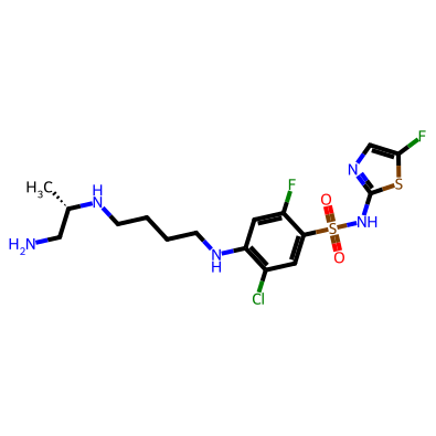 C[C@@H](CN)NCCCCNc1cc(F)c(S(=O)(=O)Nc2ncc(F)s2)cc1Cl